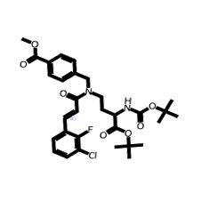 COC(=O)c1ccc(CN(CCC(NC(=O)OC(C)(C)C)C(=O)OC(C)(C)C)C(=O)/C=C/c2cccc(Cl)c2F)cc1